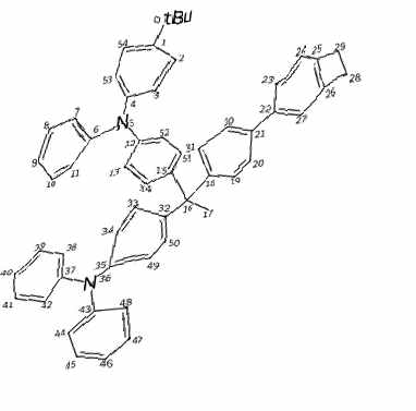 CC(C)(C)c1ccc(N(c2ccccc2)c2ccc(C(C)(c3ccc(-c4ccc5c(c4)CC5)cc3)c3ccc(N(c4ccccc4)c4ccccc4)cc3)cc2)cc1